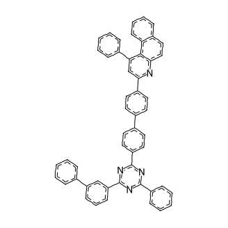 c1ccc(-c2cccc(-c3nc(-c4ccccc4)nc(-c4ccc(-c5ccc(-c6cc(-c7ccccc7)c7c(ccc8ccccc87)n6)cc5)cc4)n3)c2)cc1